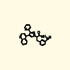 N#Cc1cccc(CC(C(N)=O)n2cc(-c3ccnc4ccccc34)c(-c3ccccn3)n2)c1